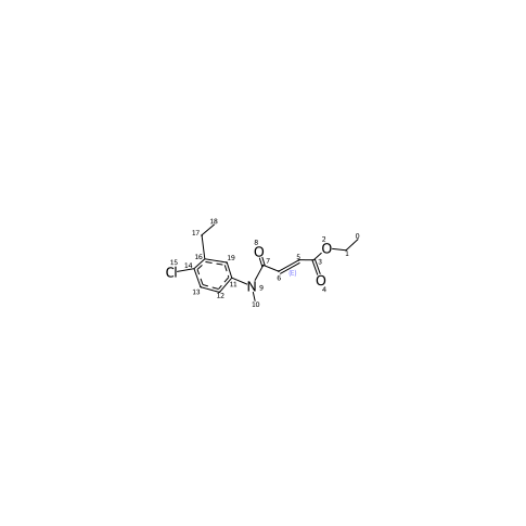 CCOC(=O)/C=C/C(=O)N(C)c1ccc(Cl)c(CC)c1